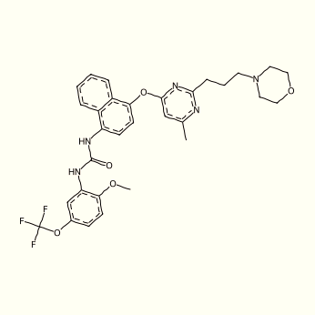 COc1ccc(OC(F)(F)F)cc1NC(=O)Nc1ccc(Oc2cc(C)nc(CCCN3CCOCC3)n2)c2ccccc12